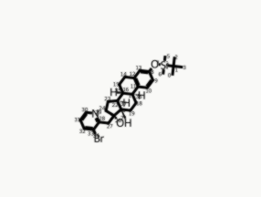 CC(C)(C)[Si](C)(C)Oc1ccc2c(c1)CC[C@@H]1[C@@H]2CC[C@@]2(C)[C@H]1CC[C@@]2(O)Cc1ncccc1Br